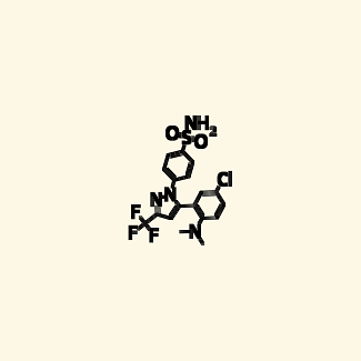 CN(C)c1ccc(Cl)cc1-c1cc(C(F)(F)F)nn1-c1ccc(S(N)(=O)=O)cc1